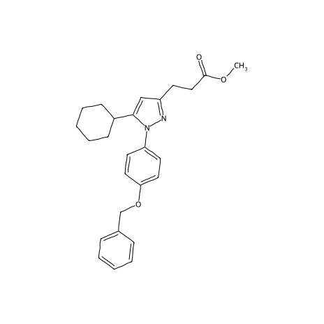 COC(=O)CCc1cc(C2CCCCC2)n(-c2ccc(OCc3ccccc3)cc2)n1